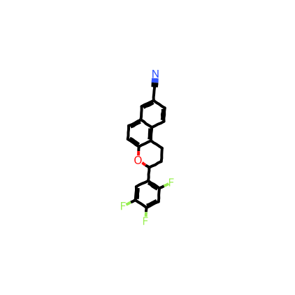 N#Cc1ccc2c3c(ccc2c1)OC(c1cc(F)c(F)cc1F)CC3